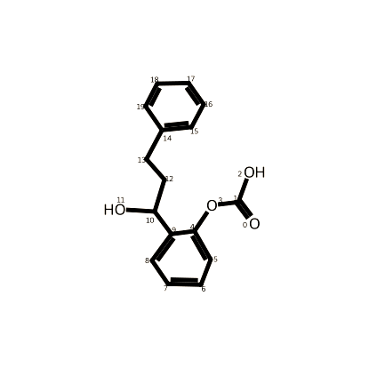 O=C(O)Oc1ccccc1C(O)CCc1ccccc1